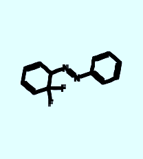 FC1(F)C=CC=CC1N=Nc1ccccc1